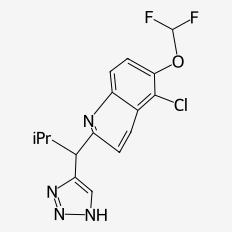 CC(C)C(c1c[nH]nn1)c1ccc2c(Cl)c(OC(F)F)ccc2n1